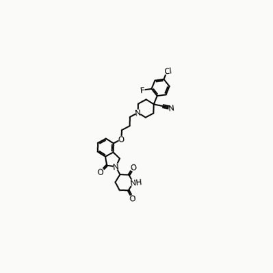 N#CC1(c2ccc(Cl)cc2F)CCN(CCCOc2cccc3c2CN(C2CCC(=O)NC2=O)C3=O)CC1